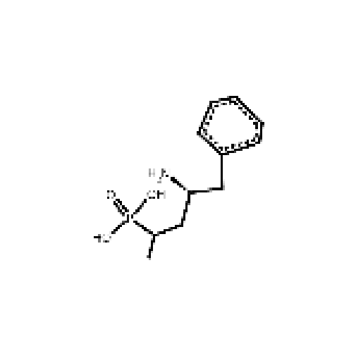 CC(C[C@@H](N)Cc1ccccc1)P(=O)(O)O